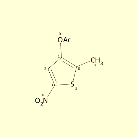 CC(=O)Oc1cc([N+](=O)[O-])sc1C